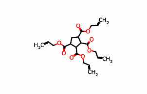 C=CCOC(=O)C1CC(C(=O)OCC=C)C(C(=O)OCC=C)C1C(=O)OCC=C